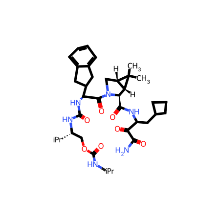 CC(C)NC(=O)OC[C@@H](NC(=O)N[C@H](C(=O)N1C[C@H]2[C@@H]([C@H]1C(=O)NC(CC1CCC1)C(=O)C(N)=O)C2(C)C)C1Cc2ccccc2C1)C(C)C